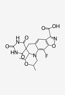 CC1CN2c3c(cc4c(C(=O)O)noc4c3F)CC3(C(=O)NC(=O)NC3=O)C2C(C)O1